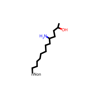 CCCCCCCCCCCCCCCCCC(N)CCC(C)O